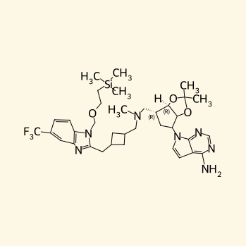 CN(CC1CC(Cc2nc3cc(C(F)(F)F)ccc3n2COCC[Si](C)(C)C)C1)C[C@H]1CC(n2ccc3c(N)ncnc32)C2OC(C)(C)O[C@@H]21